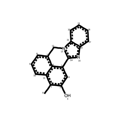 Cc1c(O)cc2c3c(cccc13)Cn1c-2nc2ccccc21